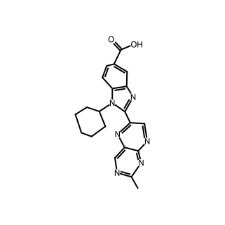 Cc1ncc2nc(-c3nc4cc(C(=O)O)ccc4n3C3CCCCC3)cnc2n1